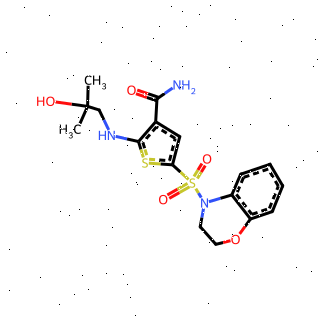 CC(C)(O)CNc1sc(S(=O)(=O)N2CCOc3ccccc32)cc1C(N)=O